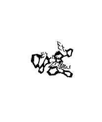 CCc1ccccc1-c1cccc2c1C=C(C(C)(C)C)[CH]2[Zr]([c]1cccc2c1[SiH2]c1ccccc1-2)[CH]1C(C(C)(C)C)=Cc2c(-c3ccccc3CC)cccc21